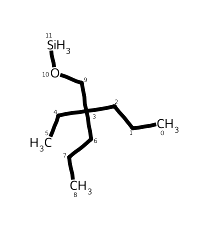 CCCC(CC)(CCC)CO[SiH3]